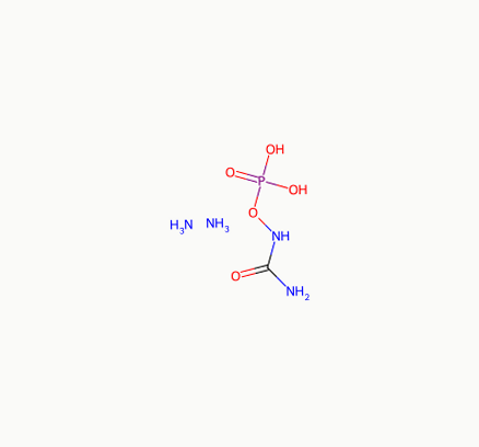 N.N.NC(=O)NOP(=O)(O)O